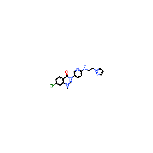 CN(C)c1cc(Cl)ccc1C(=O)Nc1ccc(NCCn2cccn2)nc1